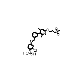 Cc1cc(OCCCS(C)(=O)=O)nc(C)c1-c1cccc(COc2ccc(B(O)O)c(Cl)c2)c1